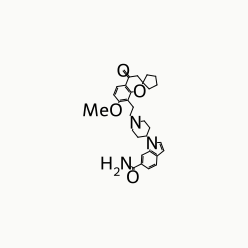 COc1ccc2c(c1CCN1CCC(n3ccc4ccc(C(N)=O)cc43)CC1)OC1(CCCC1)CC2=O